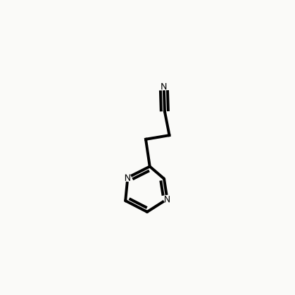 N#CCCc1cnccn1